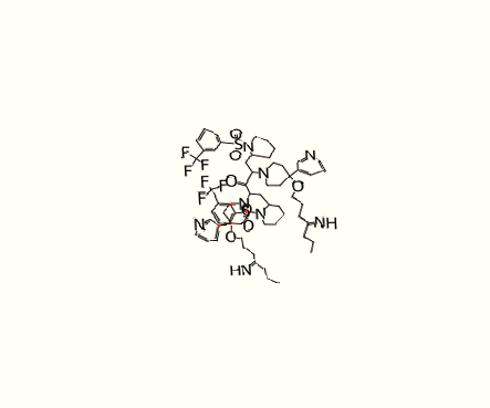 CCCC(=N)CCCOC1(c2cccnc2)CCN(C(CC2CCCCN2S(=O)(=O)c2cccc(C(F)(F)F)c2)C(=O)C(CC2CCCCN2S(=O)(=O)c2cccc(C(F)(F)F)c2)N2CCC(OCCCC(=N)CCC)(c3cccnc3)CC2)CC1